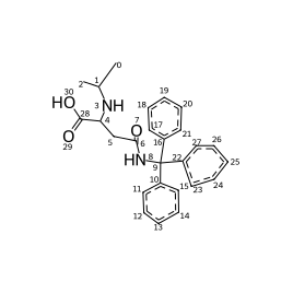 CC(C)NC(CC(=O)NC(c1ccccc1)(c1ccccc1)c1ccccc1)C(=O)O